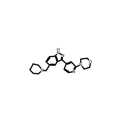 c1cc(-c2n[nH]c3ccc(CN4CCCCC4)cc23)cc(N2CCOCC2)n1